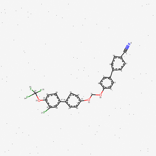 N#Cc1ccc(-c2ccc(OCOc3ccc(-c4ccc(OC(F)(F)F)c(F)c4)cc3)cc2)cc1